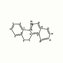 c1ccc2c(c1)CCc1c-2ncc2ccccc12